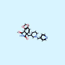 O=C1NC(=O)C2(CC3CCCN(Cc4ccncc4)C3)C=CC3=C(OCO3)C12